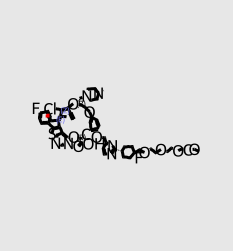 C#C/C1=C(Cl)\C(C)=C(/CC)c2c(-c3ccc(F)cc3)sc3ncnc(c23)O[C@@H](C(=O)O)Cc2cc(ccc2OCc2ccnc([C@H]3CC[C@](F)(COCCOCCOCCOC)CC3)n2)OC[C@@H](CN2CCN(C)CC2)O1